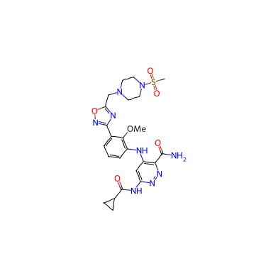 COc1c(Nc2cc(NC(=O)C3CC3)nnc2C(N)=O)cccc1-c1noc(CN2CCN(S(C)(=O)=O)CC2)n1